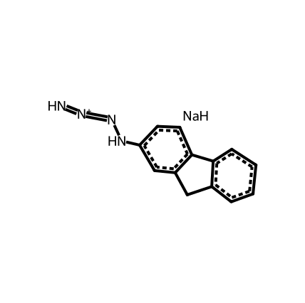 N=[N+]=NNc1ccc2c(c1)Cc1ccccc1-2.[NaH]